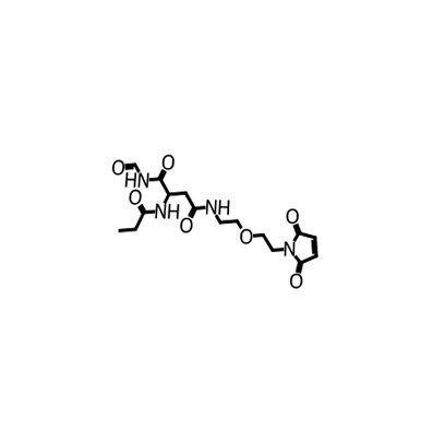 CCC(=O)NC(CC(=O)NCCOCCN1C(=O)C=CC1=O)C(=O)NC=O